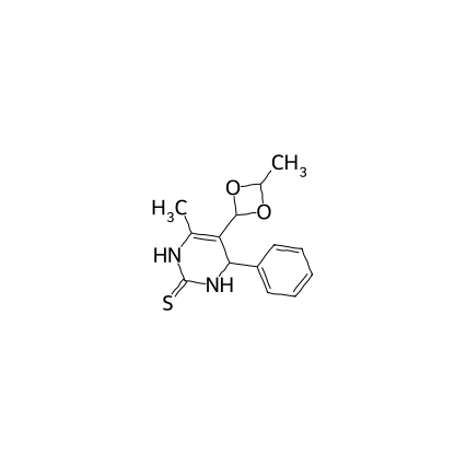 CC1=C(C2OC(C)O2)C(c2ccccc2)NC(=S)N1